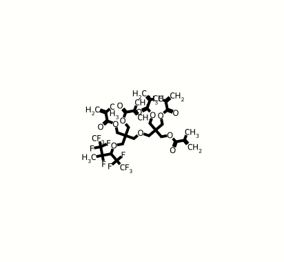 C=C(C)C(=O)OCC(COCC(COC(=O)C(=C)C)(COC(=O)C(=C)C)COC(C(C)(F)C(F)(F)C(F)(F)F)C(F)(F)C(F)(F)F)(COC(=O)C(=C)C)COC(=O)C(=C)C